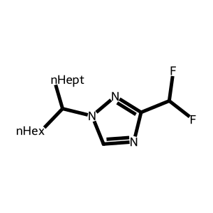 CCCCCCCC(CCCCCC)n1cnc(C(F)F)n1